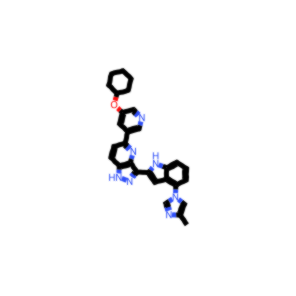 Cc1cn(-c2cccc3[nH]c(-c4n[nH]c5ccc(-c6cncc(OC7CCCCC7)c6)nc45)cc23)cn1